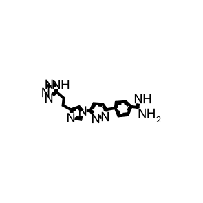 N=C(N)c1ccc(-c2ccc(-n3cnc(CCc4nnn[nH]4)c3)nn2)cc1